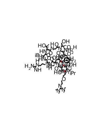 CCC(C)[C@H](NC(=O)[C@@H](CCCNC(=N)N)NC(=O)[C@@](CC(C)C)(C(=O)[C@@H](N)Cc1cccc(O)c1)N(C(=O)[C@H](CC(C)C)NC(=O)[C@@H](CC(C)C)NCCOCCN=C(N(C)C)N(C)C)C(=O)[C@@H](N)[C@H](O)C(C)C)C(=O)N[C@H](C(=O)NCC(=O)N(C(=O)[C@@H](N)[C@H](O)C(N)=O)[C@@H](CO)C(=O)O)[C@H](C)O